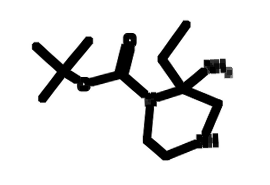 CCC1(N)CNCCN1C(=O)OC(C)(C)C